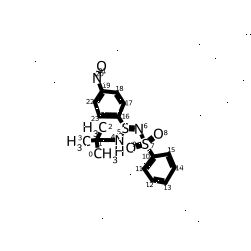 CC(C)(C)NS(=NS(=O)(=O)c1ccccc1)c1ccc(N=O)cc1